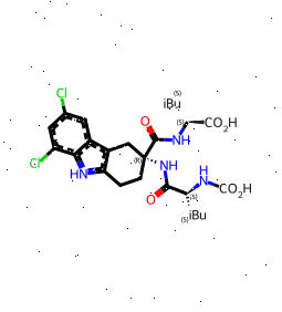 CC[C@H](C)[C@H](NC(=O)[C@@]1(NC(=O)[C@@H](NC(=O)O)[C@@H](C)CC)CCc2[nH]c3c(Cl)cc(Cl)cc3c2C1)C(=O)O